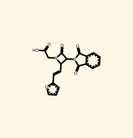 O=C(O)CN1C(=O)C(N2C(=O)c3ccccc3C2=O)C1C=Cc1ccco1